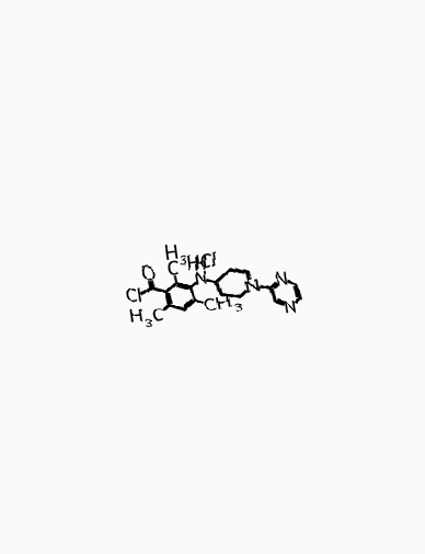 Cc1cc(C)c(C(=O)Cl)c(C)c1NC1CCN(c2cnccn2)CC1.Cl